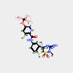 BC(B)(B)Oc1cnc(C(=O)Nc2ccc(F)c([C@]3(C)CS(=O)(=O)N(C)C(=N)N3)c2)c(F)c1